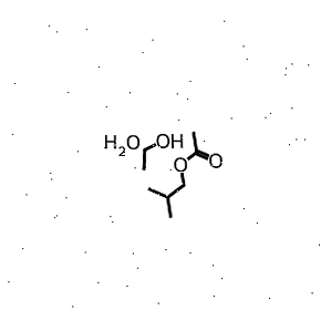 CC(=O)OCC(C)C.CCO.O